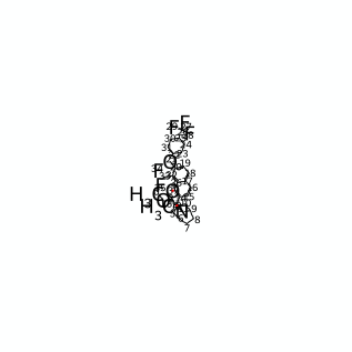 COC(=O)C1CC2CCC(C1)N2C(C)c1ccc2ccc(O[C@H]3CC[C@@H](C(F)(F)F)CC3)c(C(F)F)c2c1